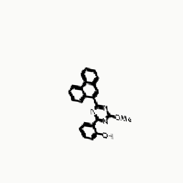 COc1nc(-c2ccccc2O)nc(-c2cc3ccccc3c3ccccc23)n1